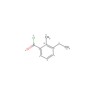 CCc1cccc(C(=O)Cl)c1C